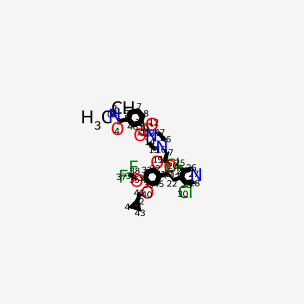 CN(C)C(=O)c1cccc(S(=O)(=O)N2CCN(CC(=O)O[C@@H](Cc3c(Cl)cncc3Cl)c3ccc(OC(F)F)c(OCC4CC4)c3)CC2)c1